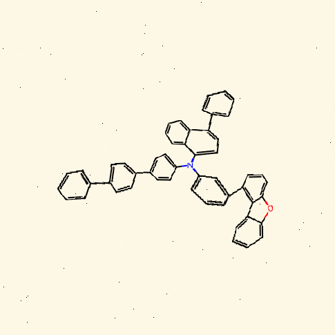 c1ccc(-c2ccc(-c3ccc(N(c4cccc(-c5cccc6oc7ccccc7c56)c4)c4ccc(-c5ccccc5)c5ccccc45)cc3)cc2)cc1